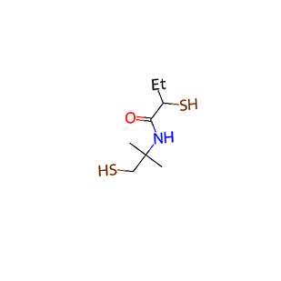 CCC(S)C(=O)NC(C)(C)CS